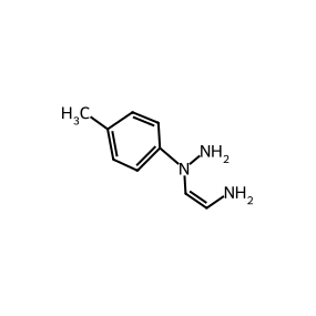 Cc1ccc(N(N)/C=C\N)cc1